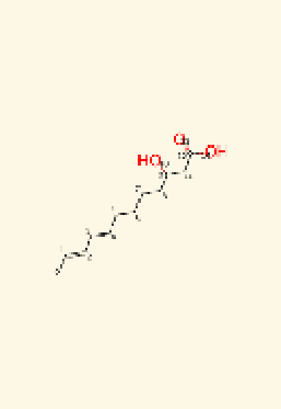 CC=CC=CCCCCC(O)CC(=O)O